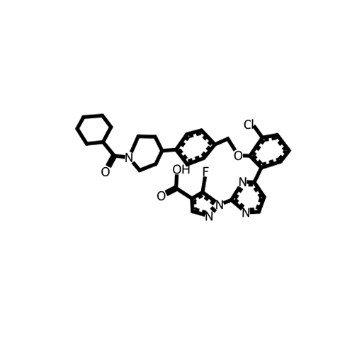 O=C(O)c1cnn(-c2nccc(-c3cccc(Cl)c3OCc3ccc(C4CCN(C(=O)C5CCCCC5)CC4)cc3)n2)c1F